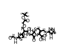 CC(C)(C)OC(=O)CO/N=C(\C(=O)NC1C(=O)N2C(C(=O)O)=C(CSc3nnn[nH]3)CS[C@H]12)c1csc(NC=O)n1